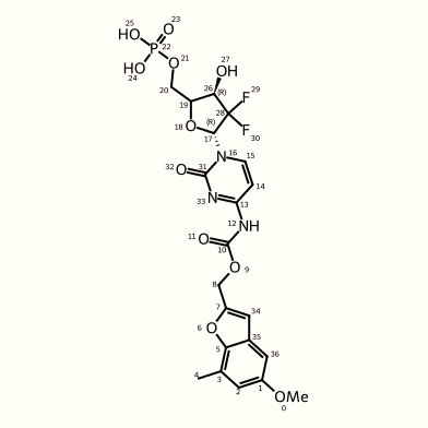 COc1cc(C)c2oc(COC(=O)Nc3ccn([C@@H]4OC(COP(=O)(O)O)[C@@H](O)C4(F)F)c(=O)n3)cc2c1